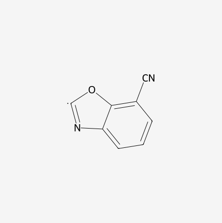 N#Cc1cccc2n[c]oc12